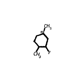 CC1CC[C@@H](C)CC1F